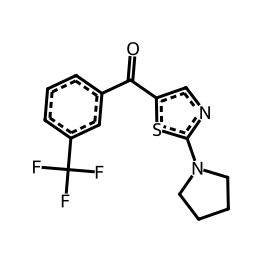 O=C(c1cccc(C(F)(F)F)c1)c1cnc(N2CCCC2)s1